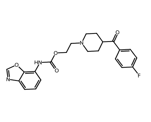 O=C(Nc1cccc2ncoc12)OCCN1CCC(C(=O)c2ccc(F)cc2)CC1